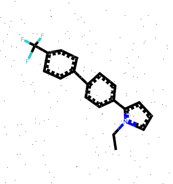 CCn1cccc1-c1ccc(-c2ccc(C(F)(F)F)cc2)cc1